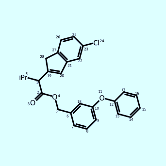 CC(C)C(C(=O)OCc1cccc(Oc2ccccc2)c1)C1=Cc2cc(Cl)ccc2C1